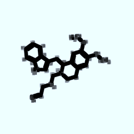 COc1cc2c(cc1OC)C(Cc1c[nH]c3ccccc13)N(COCC=O)CC2